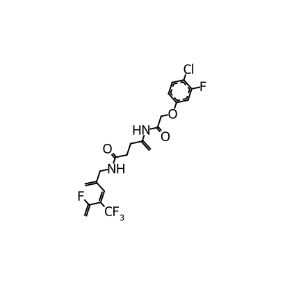 C=C(/C=C(\C(=C)F)C(F)(F)F)CNC(=O)CCC(=C)NC(=O)COc1ccc(Cl)c(F)c1